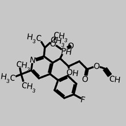 C#COC(=O)CC(O)C(c1c(-c2ccc(F)cc2)cc(C(C)(C)C)nc1C(C)C)[PH](=O)OC